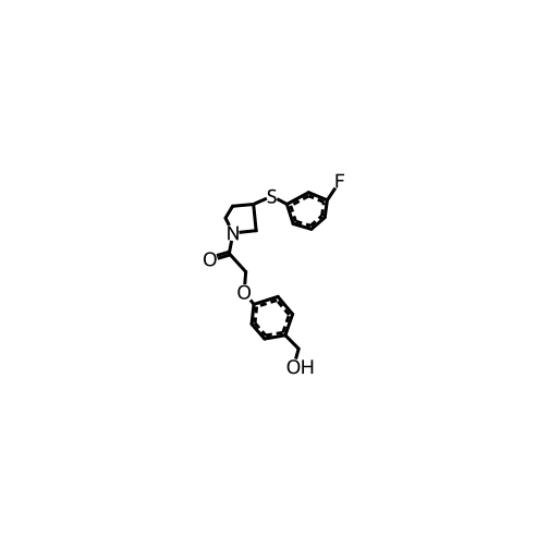 O=C(COc1ccc(CO)cc1)N1CCC(Sc2cccc(F)c2)C1